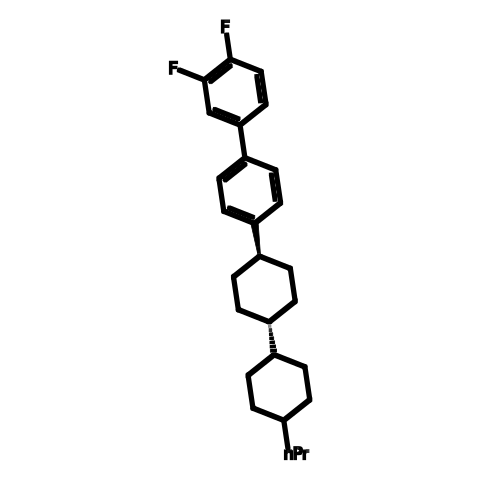 CCCC1CCC([C@H]2CC[C@H](c3ccc(-c4ccc(F)c(F)c4)cc3)CC2)CC1